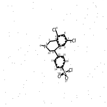 CN1Cc2c(Cl)cc(Cl)cc2C(c2ccc(S(=O)(=O)Cl)cc2)C1